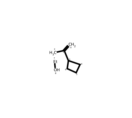 C=C(C)C1CCC1.CCO